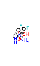 C[C@@H](C(N)=O)N(C(=O)[C@@H](O)c1cc(F)cc(F)c1)[C@@H]1C(=O)NCC=C[C@@H]1c1ccccc1